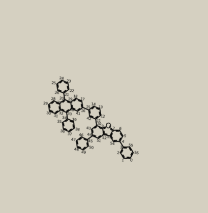 c1ccc(-c2ccc3oc4c(-c5cccc(-c6ccc7c(-c8ccccc8)c8ccccc8c(-c8ccccc8)c7c6)c5)cc(-c5ccccc5)cc4c3c2)cc1